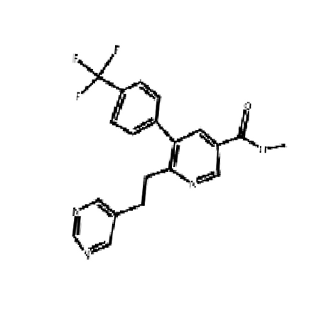 COC(=O)c1cnc(CCc2cncnc2)c(-c2ccc(C(F)(F)F)cc2)c1